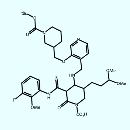 COc1c(F)cccc1NC(=S)C1C(=O)N(C(=O)O)CC(CCC(OC)OC)C1NCc1ccncc1OCC1CCCN(C(=O)OC(C)(C)C)C1